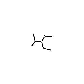 CSB(SC)C(C)C